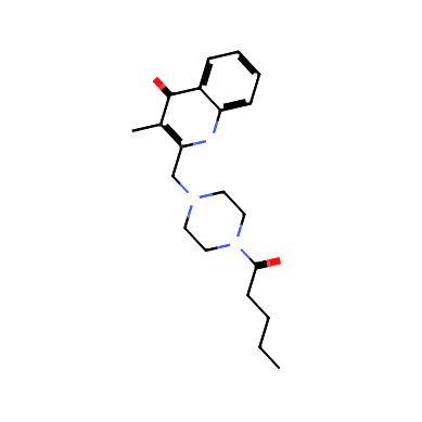 CCCCC(=O)N1CCN(Cc2[nH]c3ccccc3c(=O)c2C)CC1